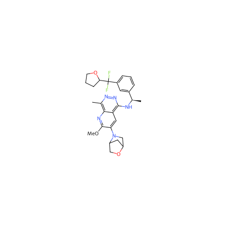 COc1nc2c(C)nnc(N[C@H](C)c3cccc(C(F)(F)C4CCCO4)c3)c2cc1N1CC2CC1CO2